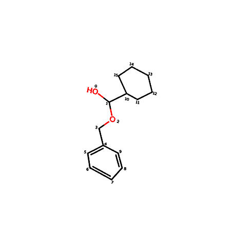 OC(OCc1ccccc1)C1CCCCC1